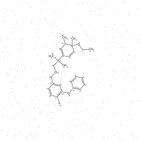 CCOC1(C)C=CC(C(C)(C)COCc2ccc(F)c(Oc3ccccc3)c2)=CC1C